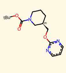 CC(C)(C)OC(=O)N1CCC[C@@H](COc2ncccn2)C1